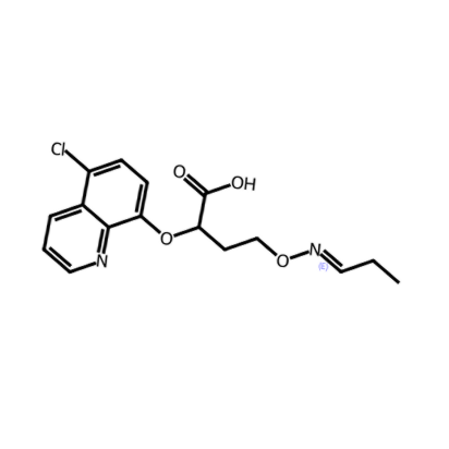 CC/C=N/OCCC(Oc1ccc(Cl)c2cccnc12)C(=O)O